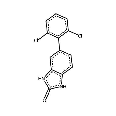 O=c1[nH]c2ccc(-c3c(Cl)cccc3Cl)cc2[nH]1